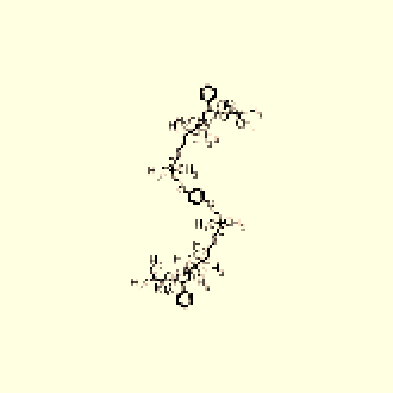 C=C(C)C(=O)OC(C)(C)C(COC(C)(C)C(C)(C)CCCCOC(C)(C)CCOc1ccc(OCCC(C)(C)OCCCCC(C)(C)C(C)(C)OCC(c2ccccc2)C(C)(C)OC(=O)C(=C)C)cc1)c1ccccc1